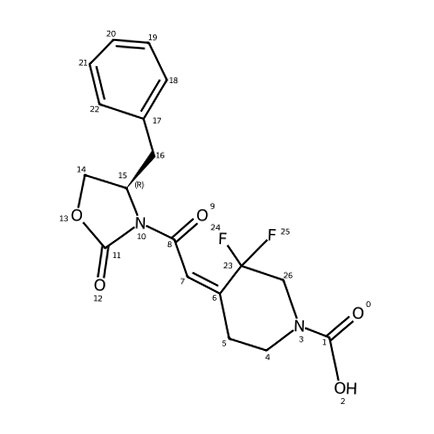 O=C(O)N1CCC(=CC(=O)N2C(=O)OC[C@H]2Cc2ccccc2)C(F)(F)C1